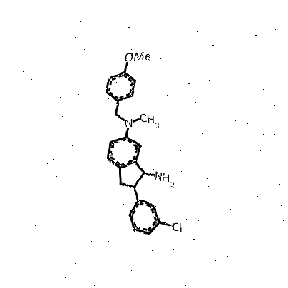 COc1ccc(CN(C)c2ccc3c(c2)C(N)C(c2cccc(Cl)c2)C3)cc1